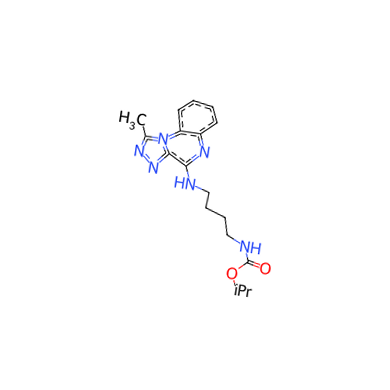 Cc1nnc2c(NCCCCNC(=O)OC(C)C)nc3ccccc3n12